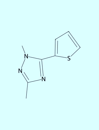 Cc1nc(-c2cccs2)n(C)n1